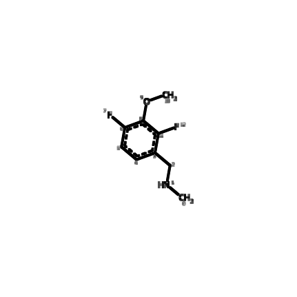 CNCc1ccc(F)c(OC)c1F